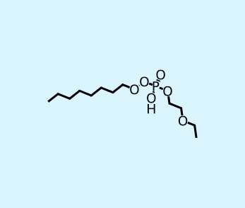 CCCCCCCCOOP(=O)(O)OCCOCC